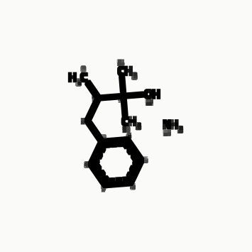 CC(Cc1ccccc1)C(C)(C)O.N